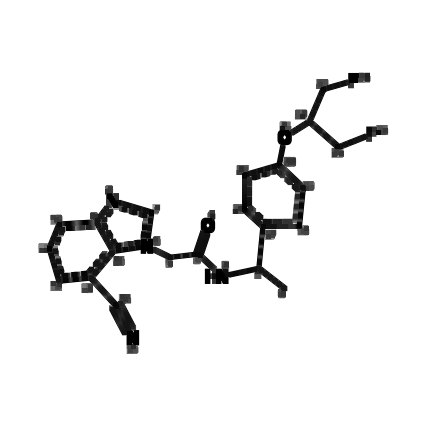 CC(NC(=O)Cn1cnc2cccc(C#N)c21)c1ccc(OC(CF)CF)cc1